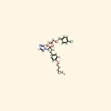 CCCCOc1ccc(CCC2(Cn3ccnc3)OCC(COCc3ccc(Cl)cc3)O2)cc1